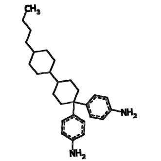 CCCCC1CCC(C2CCC(c3ccc(N)cc3)(c3ccc(N)cc3)CC2)CC1